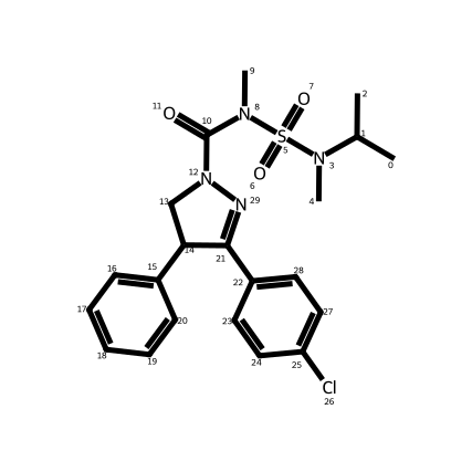 CC(C)N(C)S(=O)(=O)N(C)C(=O)N1CC(c2ccccc2)C(c2ccc(Cl)cc2)=N1